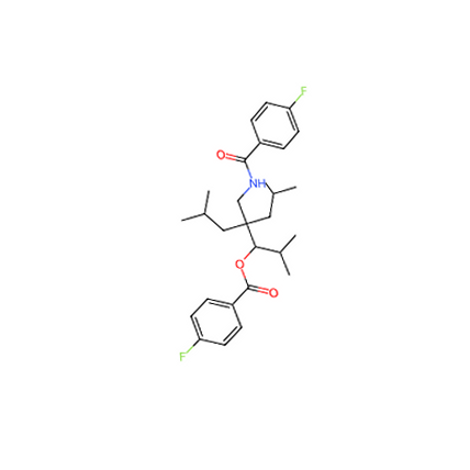 CC(C)CC(CNC(=O)c1ccc(F)cc1)(CC(C)C)C(OC(=O)c1ccc(F)cc1)C(C)C